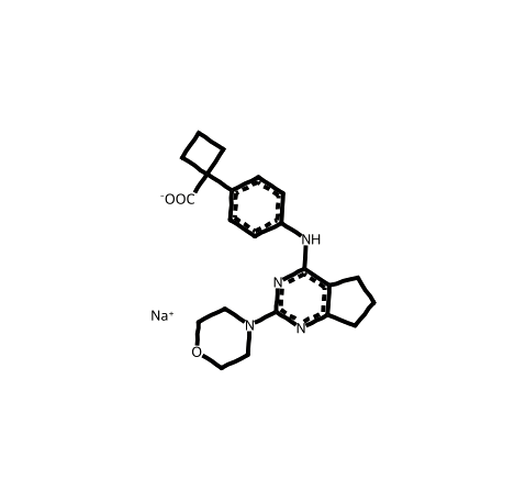 O=C([O-])C1(c2ccc(Nc3nc(N4CCOCC4)nc4c3CCC4)cc2)CCC1.[Na+]